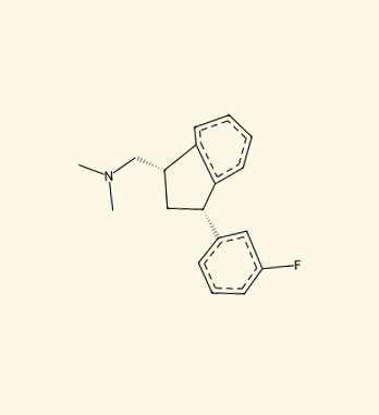 CN(C)C[C@H]1C[C@@H](c2cccc(F)c2)c2ccccc21